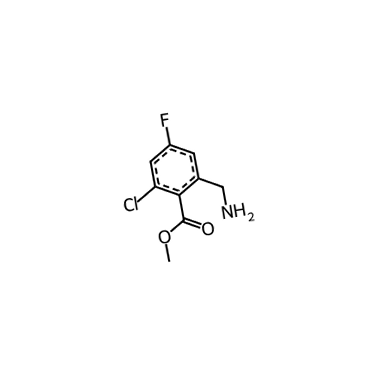 COC(=O)c1c(Cl)cc(F)cc1CN